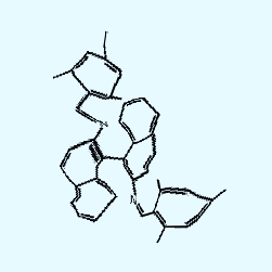 Cc1cc(C)c(/C=N\c2ccc3ccccc3c2-c2c(/N=C/c3c(C)cc(C)cc3C)ccc3ccccc23)c(C)c1